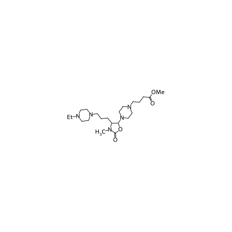 CCN1CCN(CCCC2C(N3CCN(CCCC(=O)OC)CC3)OC(=O)N2C)CC1